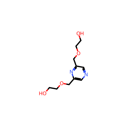 OCCOCc1cncc(COCCO)n1